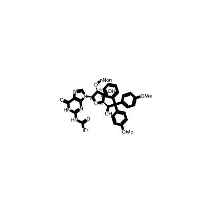 CCCCCCCCCO[C@@H]1[C@H](O)[C@@H](C(O)C(c2ccccc2)(c2ccc(OC)cc2)c2ccc(OC)cc2)O[C@H]1n1cnc2c(=O)[nH]c(NC(=O)C(C)C)nc21